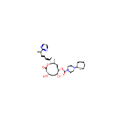 C/C(=C\C=C\C(C)c1ncccn1)[C@H]1OC(=O)C[C@@H](O)CC[C@](C)(O)[C@@H](OC(=O)N2CCN(C3CCCCCC3)CC2)/C=C/[C@@H]1C